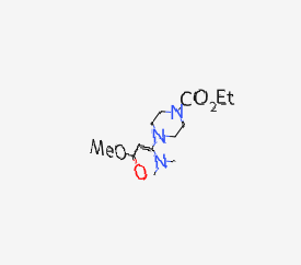 CCOC(=O)N1CCN(C(=CC(=O)OC)N(C)C)CC1